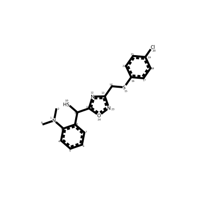 CN(C)c1ccccc1C(S)c1nc(CSc2ccc(Cl)cc2)no1